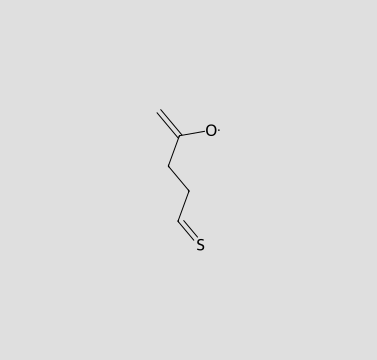 C=C([O])CCC=S